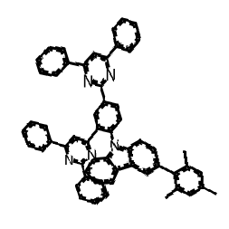 Cc1cc(C)c(-c2ccc3c(c2)c2ccccc2n3-c2ccc(-c3nc(-c4ccccc4)cc(-c4ccccc4)n3)cc2-c2cc(-c3ccccc3)nc(-c3ccccc3)n2)c(C)c1